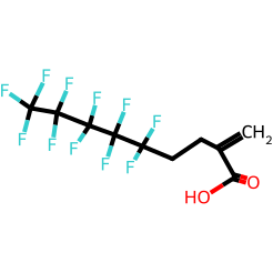 C=C(CCC(F)(F)C(F)(F)C(F)(F)C(F)(F)C(F)(F)F)C(=O)O